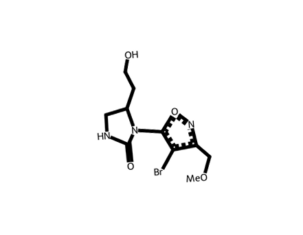 COCc1noc(N2C(=O)NCC2CCO)c1Br